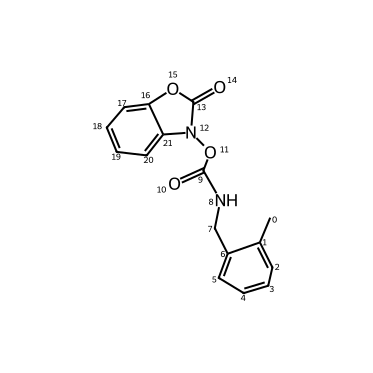 Cc1ccccc1CNC(=O)On1c(=O)oc2ccccc21